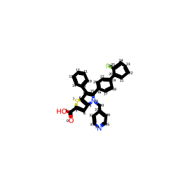 O=C(O)c1cc2c(s1)c(-c1ccccc1)c(-c1ccc(-c3ccccc3F)cc1)n2Cc1ccncc1